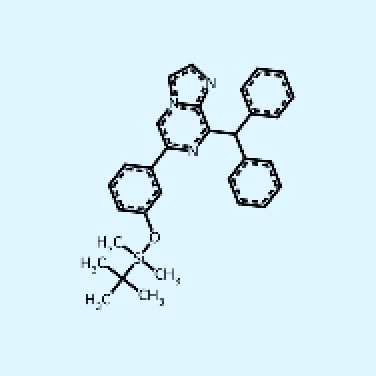 CC(C)(C)[Si](C)(C)Oc1cccc(-c2cn3ccnc3c(C(c3ccccc3)c3ccccc3)n2)c1